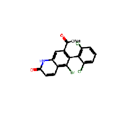 COC(=O)c1cc2[nH]c(=O)ccc2c(Br)c1-c1c(Cl)cccc1Cl